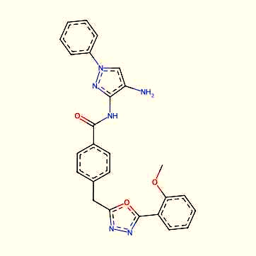 COc1ccccc1-c1nnc(Cc2ccc(C(=O)Nc3nn(-c4ccccc4)cc3N)cc2)o1